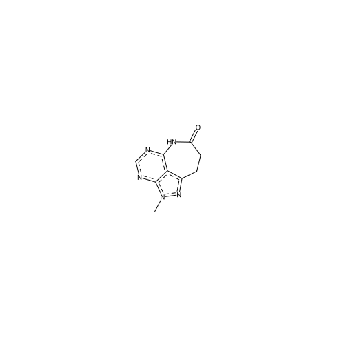 Cn1nc2c3c(ncnc31)NC(=O)CC2